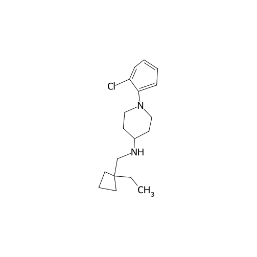 CCC1(CNC2CCN(c3ccccc3Cl)CC2)CCC1